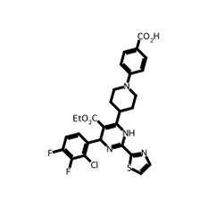 CCOC(=O)C1=C(C2CCN(c3ccc(C(=O)O)cc3)CC2)NC(c2nccs2)=NC1c1ccc(F)c(F)c1Cl